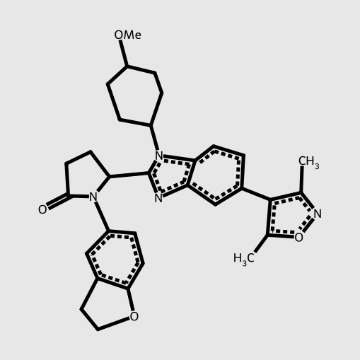 COC1CCC(n2c(C3CCC(=O)N3c3ccc4c(c3)CCO4)nc3cc(-c4c(C)noc4C)ccc32)CC1